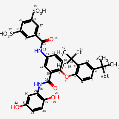 CCC(C)(C)c1ccc(Oc2ccc(NC(=O)c3cc(S(=O)(=O)O)cc(S(=O)(=O)O)c3)cc2C(=O)Nc2cc(O)ccc2O)c(C(C)(C)CC)c1